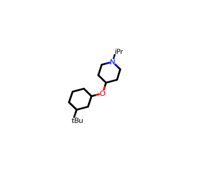 CC(C)N1CCC(OC2CCCC(C(C)(C)C)C2)CC1